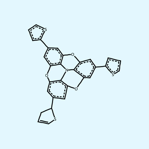 C1=CSC(c2cc3c4c(c2)Oc2cc(-c5cccs5)cc5c2N4c2c(cc(-c4cccs4)cc2O3)O5)C1